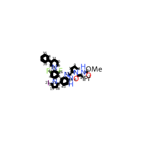 COC(=O)N[C@H](C(=O)N1CCC[C@H]1c1nc2cc([C@H]3CC[C@H](I)N3c3cc(F)c(N4CCCC(c5ccccc5)C4)c(F)c3)ccc2[nH]1)C(C)C